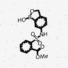 COC(=O)c1ccccc1S(=O)(=O)Nc1ccc2c(c1)B(O)OC2